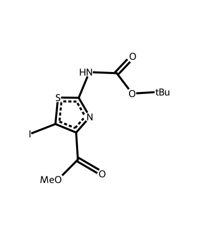 COC(=O)c1nc(NC(=O)OC(C)(C)C)sc1I